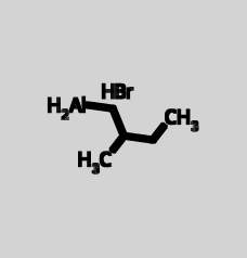 Br.CCC(C)[CH2][AlH2]